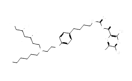 CCCCCCN(CCOc1ccc(CCCCNC(=N)NC(=O)c2nc(Cl)c(N)nc2N)cc1)C[C@H](O)[C@H](O)[C@H](O)[C@H](O)CO